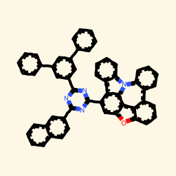 c1ccc(-c2cc(-c3ccccc3)cc(-c3nc(-c4ccc5ccccc5c4)nc(-c4cc5oc6cccc7c8ccccc8n8c9ccccc9c4c8c5c67)n3)c2)cc1